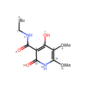 CCC(C)CNC(=O)c1c(O)c(OC)c(OC)[nH]c1=O